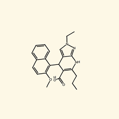 CCCC1=C(C(=O)O)C(c2c(OC)ccc3ccccc23)c2cn(CC)nc2N1